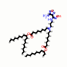 CCCCCCCCC(CC)OC(=O)CCCCCCCN(CCCCCCCC(=O)OC(CCCCCCCC)CCCCCCCC)CCCN/C(=N/O)c1nonc1N